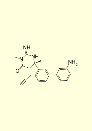 C#CC[C@@H]1C(=O)N(C)C(=N)N[C@]1(C)c1cccc(-c2cccc(N)c2)c1